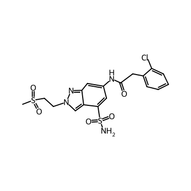 CS(=O)(=O)CCn1cc2c(S(N)(=O)=O)cc(NC(=O)Cc3ccccc3Cl)cc2n1